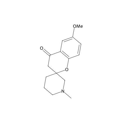 COc1ccc2c(c1)C(=O)CC1(CCCN(C)C1)O2